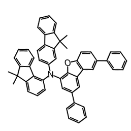 CC1(C)c2ccccc2-c2ccc(N(c3cccc4c3-c3ccccc3C4(C)C)c3cc(-c4ccccc4)cc4c3oc3ccc(-c5ccccc5)cc34)cc21